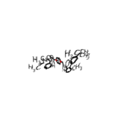 CCCN(C)C(=O)[C@@H](NC(=O)C12CCC(CNC(=O)c3cccc(C)c3-c3ccc(C(C)(C)C)cc3)(CC1)CC2)c1ccccc1